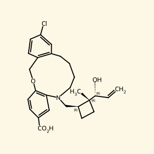 C=C[C@@H](O)[C@]1(C)CC[C@H]1CN1CCCCc2cc(Cl)ccc2COc2ccc(C(=O)O)cc21